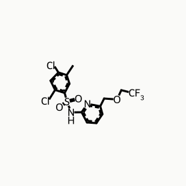 Cc1cc(S(=O)(=O)Nc2cccc(COCC(F)(F)F)n2)c(Cl)cc1Cl